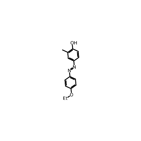 CCOc1ccc(N=Nc2ccc(O)c(C)c2)cc1